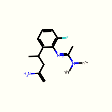 C=C(N)CC(C)c1cccc(F)c1/N=C(\C)N(CCC)CCC